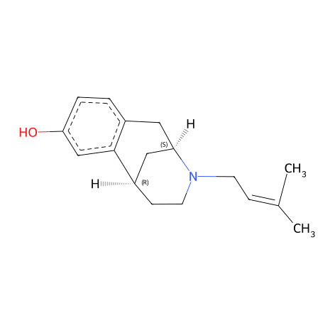 CC(C)=CCN1CC[C@@H]2C[C@H]1Cc1ccc(O)cc12